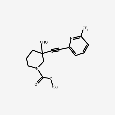 CC(C)(C)OC(=O)N1CCCC(C#Cc2cccc(C(F)(F)F)n2)(C=O)C1